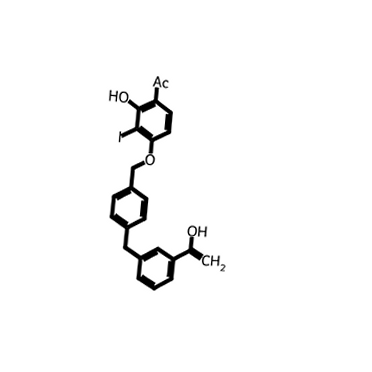 C=C(O)c1cccc(Cc2ccc(COc3ccc(C(C)=O)c(O)c3I)cc2)c1